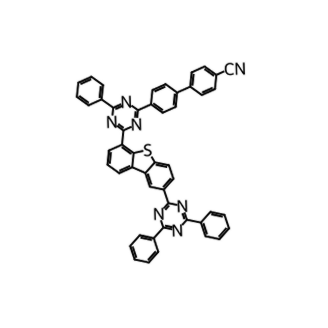 N#Cc1ccc(-c2ccc(-c3nc(-c4ccccc4)nc(-c4cccc5c4sc4ccc(-c6nc(-c7ccccc7)nc(-c7ccccc7)n6)cc45)n3)cc2)cc1